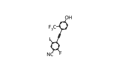 N#Cc1cc(I)c(C#Cc2ccc(O)cc2C(F)(F)F)cc1F